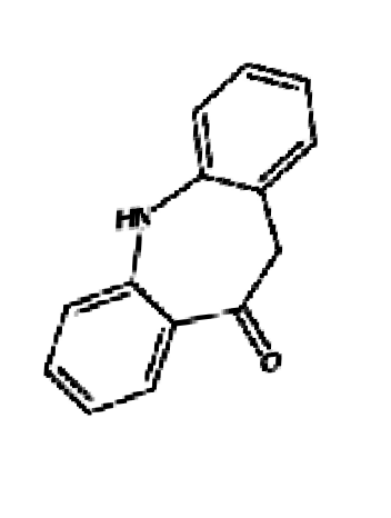 O=C1Cc2ccccc2Nc2ccccc21